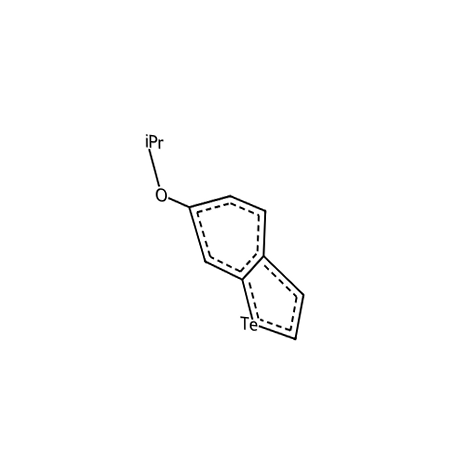 CC(C)Oc1ccc2cc[te]c2c1